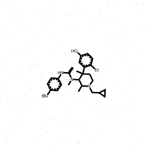 C=C(Nc1ccc(C(C)(C)C)cc1)N(C)C1C(C)N(CC2CC2)CCC1(C)c1cc(O)ccc1CC